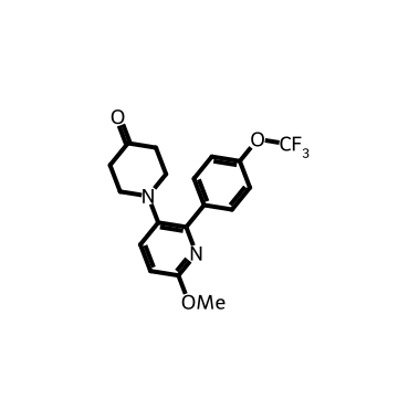 COc1ccc(N2CCC(=O)CC2)c(-c2ccc(OC(F)(F)F)cc2)n1